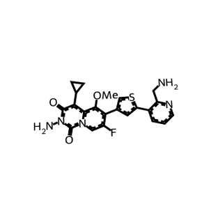 COc1c(-c2csc(-c3cccnc3CN)c2)c(F)cn2c(=O)n(N)c(=O)c(C3CC3)c12